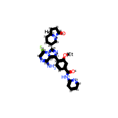 CCOc1cc(C(=O)Nc2ccccn2)ccc1-c1nc([C@@H]2CC[C@H]3CCC(=O)N3C2)n2c(F)cnc(N)c12